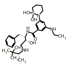 CCNc1cc(C(=O)N[C@@H](Cc2ccccc2)[C@H](O)CN[C@H](C)C(C)(C)C)cc(N2CCCCS2(O)O)c1